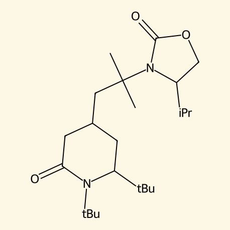 CC(C)C1COC(=O)N1C(C)(C)CC1CC(=O)N(C(C)(C)C)C(C(C)(C)C)C1